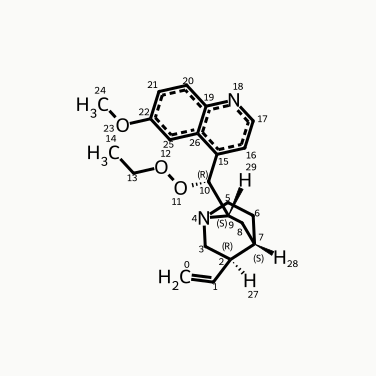 C=C[C@H]1CN2CC[C@H]1C[C@H]2[C@H](OOCC)c1ccnc2ccc(OC)cc12